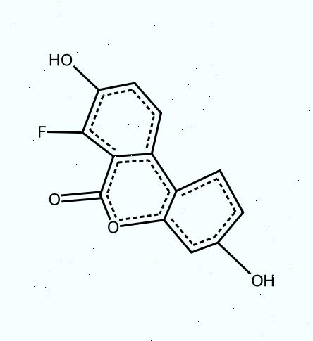 O=c1oc2cc(O)ccc2c2ccc(O)c(F)c12